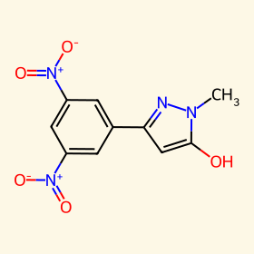 Cn1nc(-c2cc([N+](=O)[O-])cc([N+](=O)[O-])c2)cc1O